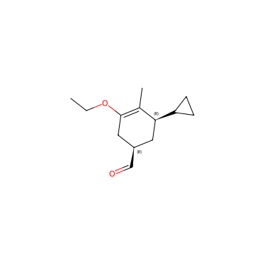 CCOC1=C(C)[C@@H](C2CC2)C[C@@H](C=O)C1